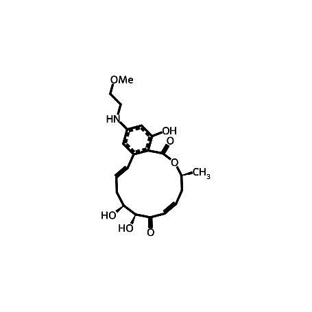 COCCNc1cc(O)c2c(c1)/C=C/C[C@H](O)[C@H](O)C(=O)/C=C\C[C@H](C)OC2=O